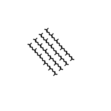 CC(C)=CCC/C(C)=C/CC/C(C)=C/CC/C=C(\C)CC/C=C(\C)CCC=C(C)C.CC(C)=CCC/C(C)=C/CC/C(C)=C/CC/C=C(\C)CC/C=C(\C)CCC=C(C)C.CC(C)=CCC/C(C)=C/CC/C(C)=C/CC/C=C(\C)CC/C=C(\C)CCC=C(C)C.CC(C)=CCC/C(C)=C/CC/C(C)=C/CC/C=C(\C)CC/C=C(\C)CCC=C(C)C